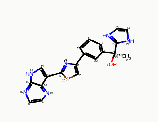 C[C@](O)(c1cccc(-c2csc(-c3c[nH]c4nccnc34)n2)c1)c1ncc[nH]1